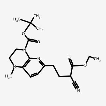 CCOC(=O)C(C#N)CCc1ccc2c(n1)N(C(=O)OC(C)(C)C)CCN2C